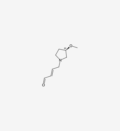 CO[C@@H]1CCN(CC=CC=O)C1